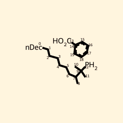 CCCCCCCCCCCCCCCCC(C)C(C)(C)P.O=C(O)c1ccccc1